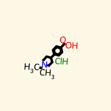 CC(C)N1CCC(c2ccc(C(=O)O)cc2)CC1.Cl